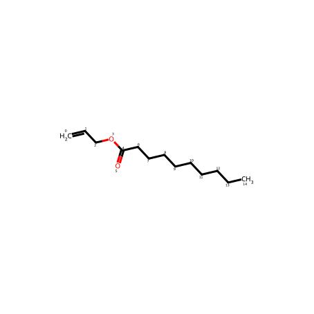 C=CCOC(=O)CCCCCCCCC